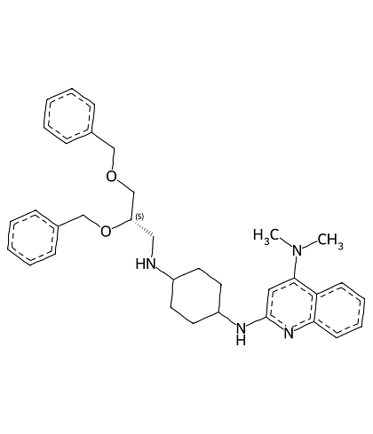 CN(C)c1cc(NC2CCC(NC[C@@H](COCc3ccccc3)OCc3ccccc3)CC2)nc2ccccc12